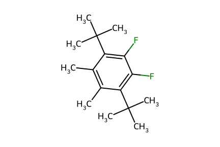 Cc1c(C)c(C(C)(C)C)c(F)c(F)c1C(C)(C)C